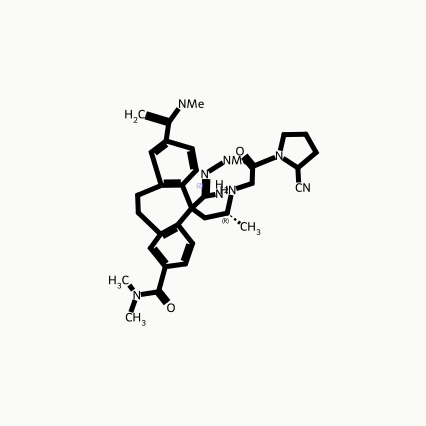 C=C(NC)c1ccc2c(c1)CCc1cc(C(=O)N(C)C)ccc1C2(C[C@@H](C)NCC(=O)N1CCCC1C#N)/C(N)=N/NC